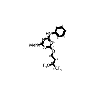 CNc1nc(Nc2ccccc2)nc(OCCC(C(F)(F)F)C(F)(F)F)n1